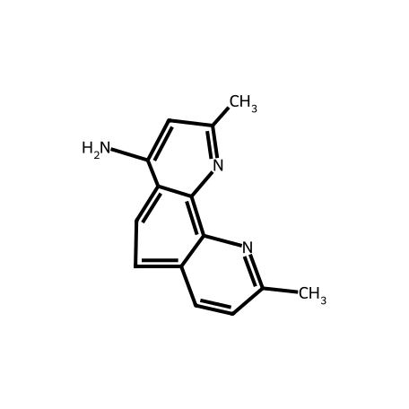 Cc1ccc2ccc3c(N)cc(C)nc3c2n1